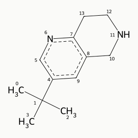 CC(C)(C)c1cnc2c(c1)CNCC2